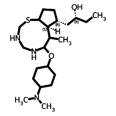 CC[C@@H](O)C[C@H]1CCC2SCNCNC(OC3CCC(N(C)C)CC3)C(C)[C@@H]21